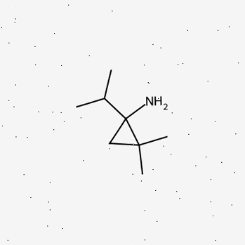 CC(C)C1(N)CC1(C)C